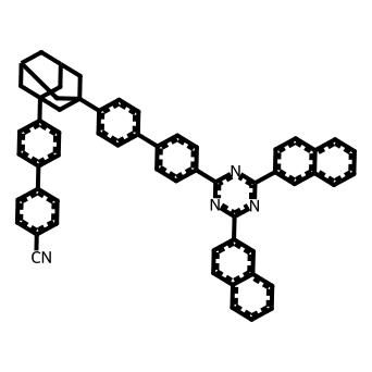 N#Cc1ccc(-c2ccc(C34CC5CC(C3)CC(c3ccc(-c6ccc(-c7nc(-c8ccc9ccccc9c8)nc(-c8ccc9ccccc9c8)n7)cc6)cc3)(C5)C4)cc2)cc1